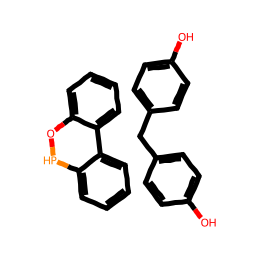 Oc1ccc(Cc2ccc(O)cc2)cc1.c1ccc2c(c1)OPc1ccccc1-2